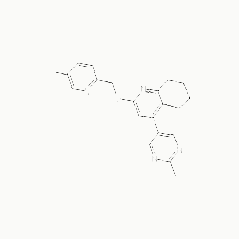 Cc1ncc(-c2cc(OCc3ccc(F)cn3)nc3c2CCCC3)cn1